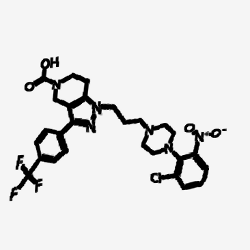 O=C(O)N1CCc2c(c(-c3ccc(C(F)(F)F)cc3)nn2CCCN2CCN(c3c(Cl)cccc3[N+](=O)[O-])CC2)C1